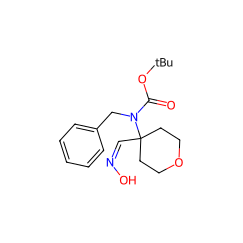 CC(C)(C)OC(=O)N(Cc1ccccc1)C1(C=NO)CCOCC1